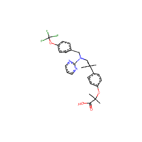 CC(C)(Oc1ccc(C(C)(C)CN(Cc2ccc(OC(F)(F)F)cc2)c2ncccn2)cc1)C(=O)O